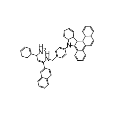 NC(/C=C(\NCc1ccc(N2C3=c4ccccc4=C4C=CC5C=CC=CC5C4C3C3C=CC=CC32)cc1)c1ccc2ccccc2c1)C1=CC=CCC1